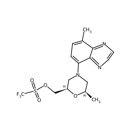 Cc1ccc(N2C[C@H](COS(=O)(=O)C(F)(F)F)O[C@H](C)C2)c2nccnc12